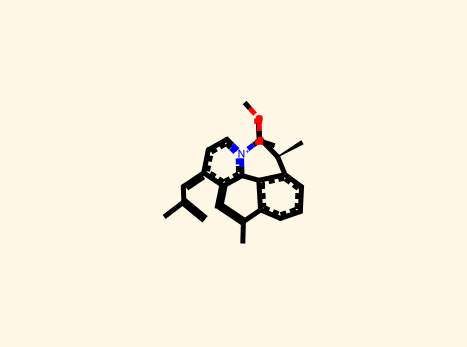 C=C(C)/C=c1/cc[n+](C(C)C)c(-c2c(C(=C)C)cccc2[C@H](C)COC)c1=C